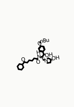 CCCCOc1ccc([C@@H](O)[C@@H](CN2CC[C@H](O)C2)NC(=O)CCCCC(=O)C2CCCCC2)cc1